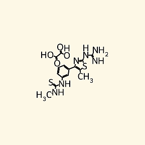 CNC(=S)Nc1cccc(-c2nc(NC(=N)N)sc2C)c1.O=C(O)C(=O)O